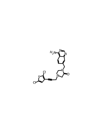 Nc1ncnc2cc(CN3CCN(CC#Cc4cc(Cl)sc4Cl)CC3=O)ccc12